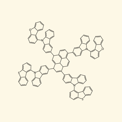 C1=CC2C(c3ccc4c(c3)c3ccccc3n4-c3cccc4sc5ccccc5c34)=CC(c3ccc4c(c3)c3ccccc3n4-c3cccc4sc5ccccc5c34)C3=CC(c4ccc5c(c4)c4ccccc4n5-c4cccc5oc6ccccc6c45)c4ccc(-c5ccc6c(c5)c5ccccc5n6-c5cccc6oc7ccccc7c56)c1c4C32